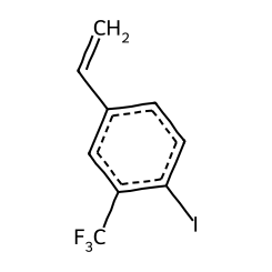 C=Cc1ccc(I)c(C(F)(F)F)c1